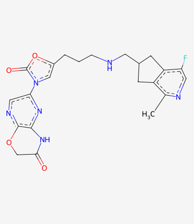 Cc1ncc(F)c2c1CC(CNCCCc1cn(-c3cnc4c(n3)NC(=O)CO4)c(=O)o1)C2